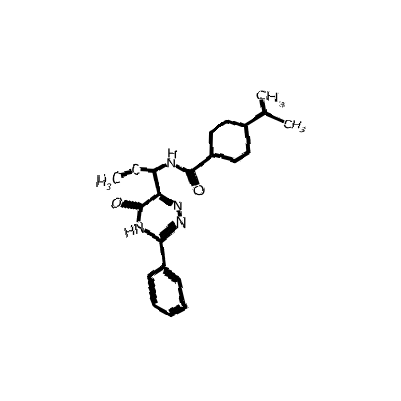 CCC(NC(=O)C1CCC(C(C)C)CC1)c1nnc(-c2ccccc2)[nH]c1=O